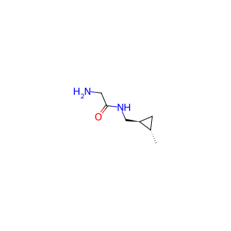 C[C@H]1C[C@@H]1CNC(=O)CN